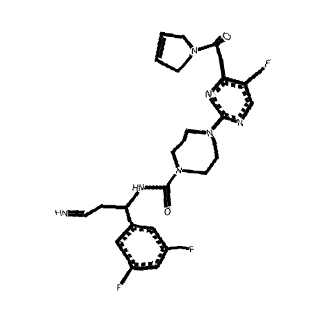 N=CCC(NC(=O)N1CCN(c2ncc(F)c(C(=O)N3CC=CC3)n2)CC1)c1cc(F)cc(F)c1